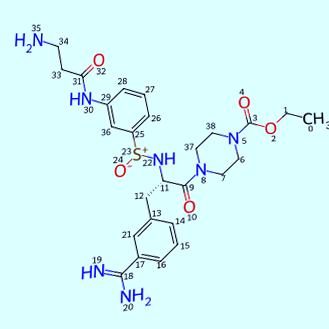 CCOC(=O)N1CCN(C(=O)[C@H](Cc2cccc(C(=N)N)c2)N[S+]([O-])c2cccc(NC(=O)CCN)c2)CC1